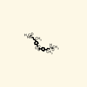 CC(=O)NCCC(C)c1ccc(C(=O)OC(=O)c2ccc(C(C)CCNC(C)=O)cc2)cc1